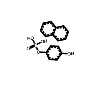 O=P(O)(O)Oc1ccc(O)cc1.c1ccc2ccccc2c1